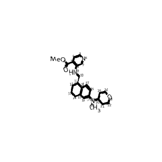 COC(=O)c1ccncc1NC[C@@H]1CCCc2cc(N(C)C3CCOCC3)ccc21